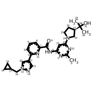 Cc1nc(NC(=O)c2cccc(-c3cnn(CC4CC4)c3)n2)cc(N2CC[C@@H](C(C)(C)O)C2)n1